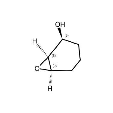 O[C@H]1CCC[C@H]2O[C@@H]12